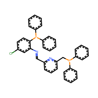 Clc1ccc(P(c2ccccc2)c2ccccc2)c(N=Cc2cccc(CP(c3ccccc3)c3ccccc3)n2)c1